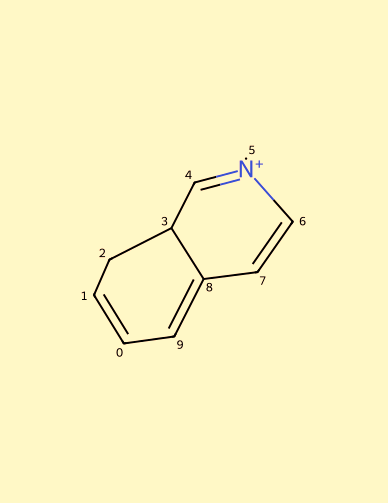 C1=CCC2C=[N+]C=CC2=C1